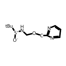 CC(C)(C)[S+]([O-])NCOCc1ncccn1